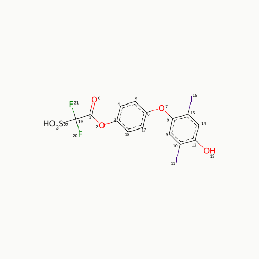 O=C(Oc1ccc(Oc2cc(I)c(O)cc2I)cc1)C(F)(F)S(=O)(=O)O